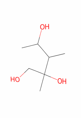 CC(O)C(C)C(C)(O)CO